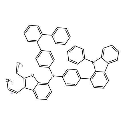 C=Cc1oc2c(N(c3ccc(-c4ccccc4-c4ccccc4)cc3)c3ccc(-c4cccc5c6ccccc6n(-c6ccccc6)c45)cc3)cccc2c1/C=C\C